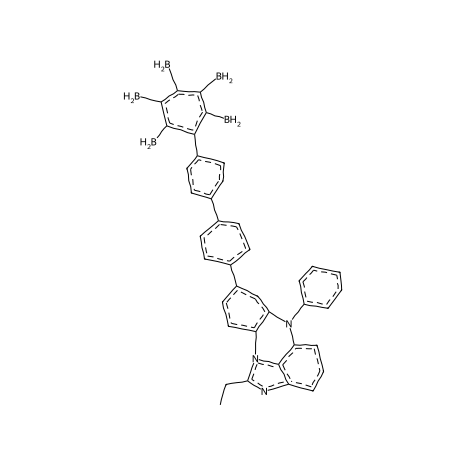 Bc1c(B)c(B)c(-c2ccc(-c3ccc(-c4ccc5c(c4)N(c4ccccc4)c4cccc6nc(CC)n-5c46)cc3)cc2)c(B)c1B